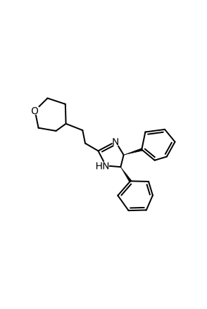 c1ccc([C@H]2NC(CCC3CCOCC3)=N[C@H]2c2ccccc2)cc1